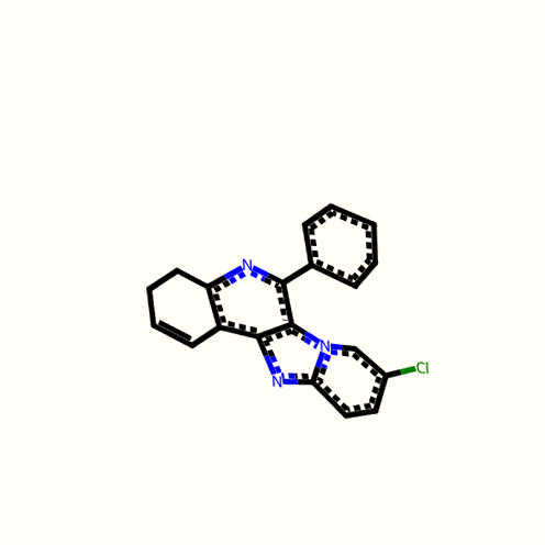 Clc1ccc2nc3c4c(nc(-c5ccccc5)c3n2c1)CCC=C4